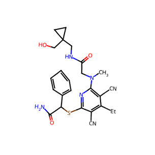 CCc1c(C#N)c(SC(C(N)=O)c2ccccc2)nc(N(C)CC(=O)NCC2(CO)CC2)c1C#N